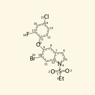 CCS(=O)(=O)n1ccc2cc(Oc3ccc(Cl)cc3F)c(Br)cc21